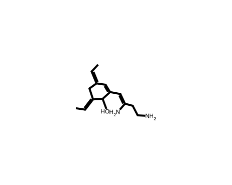 CC=C1C=C(C=C(N)CCN)C(O)C(=CC)C1